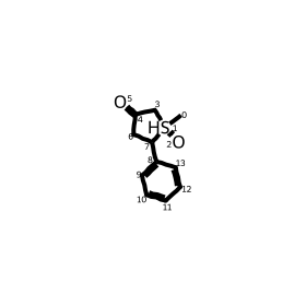 C[SH]1(=O)CC(=O)CC1c1ccccc1